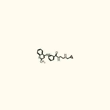 Cc1cc(Nc2cccc(C(=O)NCCNCC3CC3)c2)c2ccccc2n1